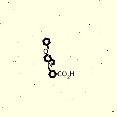 O=C(O)c1cccc(Cn2ccc3cc(OCc4ccccc4)ccc32)c1